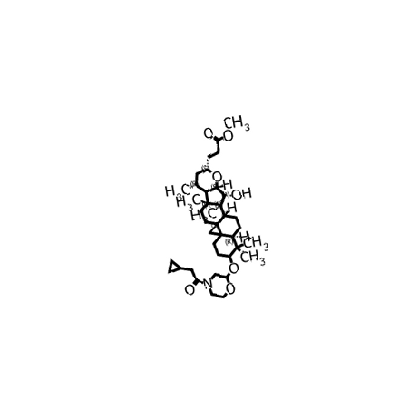 COC(=O)CC[C@H]1C[C@@H](C)C2[C@H](O1)[C@H](O)[C@@]1(C)[C@@H]3CC[C@H]4C(C)(C)C(OC5CN(C(=O)CC6CC6)CCO5)CCC45C[C@@]35CC[C@]21C